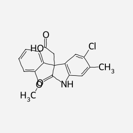 COc1ccccc1C1(CC(=O)O)C(=O)Nc2cc(C)c(Cl)cc21